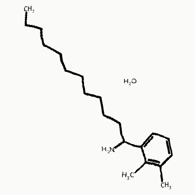 CCCCCCCCCCCC(N)c1cccc(C)c1C.O